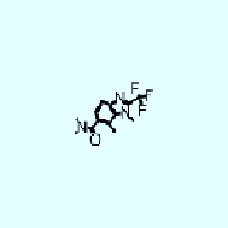 Cc1c(C(=O)N(C)C)ccc2nc(C(F)(F)F)n(C)c12